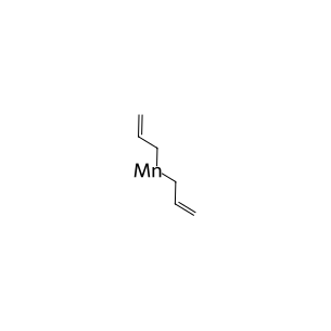 C=C[CH2][Mn][CH2]C=C